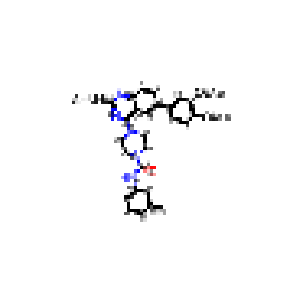 COc1ccc(-c2ccc3nc(NC(C)=O)nc(N4CCN(C(=O)Nc5cccc(C)c5)CC4)c3c2)cc1OC